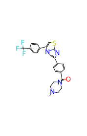 CN1CCN(C(=O)c2ccc(-c3cn4c(-c5ccc(C(F)(F)F)cc5)csc4n3)cc2)CC1